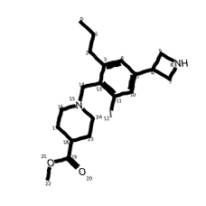 CCCc1cc(C2CNC2)cc(I)c1CN1CCC(C(=O)OC)CC1